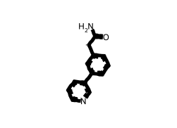 NC(=O)[CH]c1cccc(-c2cccnc2)c1